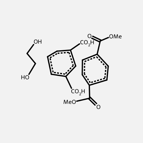 COC(=O)c1ccc(C(=O)OC)cc1.O=C(O)c1cccc(C(=O)O)c1.OCCO